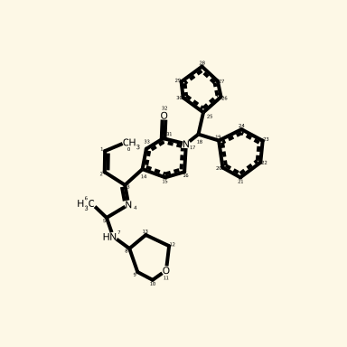 C/C=C\C(=N/C(C)NC1CCOCC1)c1ccn(C(c2ccccc2)c2ccccc2)c(=O)c1